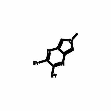 CC(C)c1nc2cn(C)cc2nc1C(C)C